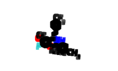 CNC(=O)C(N[C@@H](CCc1ccc(C(F)(F)F)cc1)c1ccc(F)c(OC(F)(F)F)c1)c1ccc(C)cc1